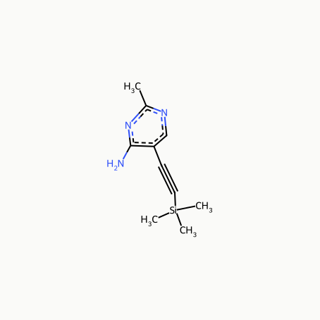 Cc1ncc(C#C[Si](C)(C)C)c(N)n1